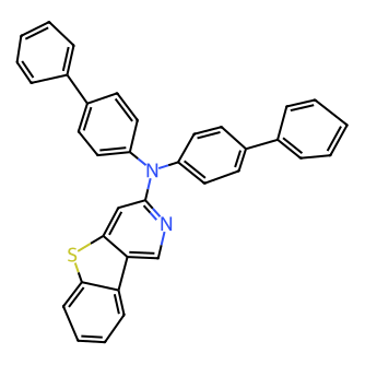 c1ccc(-c2ccc(N(c3ccc(-c4ccccc4)cc3)c3cc4sc5ccccc5c4cn3)cc2)cc1